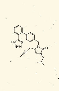 CC#CCc1cn(CC(C)C)c(=O)n1Cc1ccc(-c2ccccc2-c2nnn[nH]2)cc1